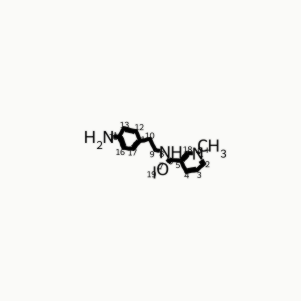 C[n+]1cccc(C(=O)NCCc2ccc(N)cc2)c1.[I-]